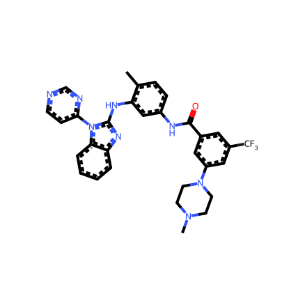 Cc1ccc(NC(=O)c2cc(N3CCN(C)CC3)cc(C(F)(F)F)c2)cc1Nc1nc2ccccc2n1-c1ccncn1